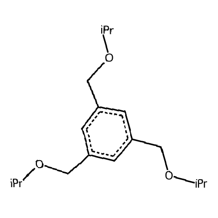 CC(C)OCc1cc(COC(C)C)cc(COC(C)C)c1